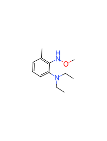 CCN(CC)c1cccc(C)c1NOC